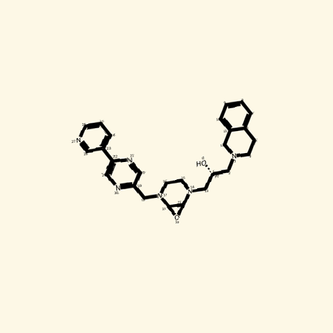 O[C@H](CN1CCc2ccccc2C1)CN1CCN(Cc2cnc(-c3cccnc3)cn2)C2OC21